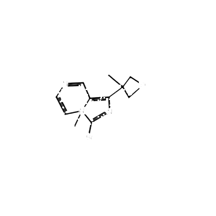 CC1(C2=C3C=NC=C[N+]3(C)C(Br)=N2)COC1